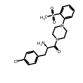 CS(=O)(=O)c1ccccc1N1CCN(C(=O)[C@H](N)Cc2ccc(Cl)cc2)CC1